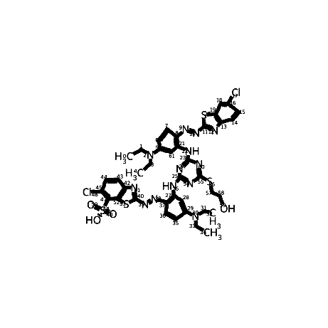 CCN(CC)c1ccc(/N=N/c2nc3ccc(Cl)cc3s2)c(Nc2nc(Nc3cc(N(CC)CC)ccc3/N=N/c3nc4ccc(Cl)c(S(=O)(=O)O)c4s3)nc(SCCO)n2)c1